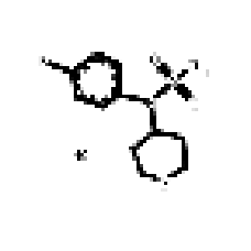 CS(=O)(=O)N(c1ccc(F)cc1)C1CCNCC1.Cl